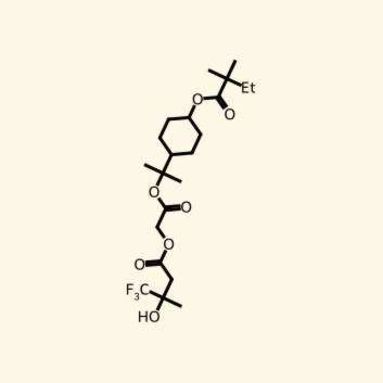 CCC(C)(C)C(=O)OC1CCC(C(C)(C)OC(=O)COC(=O)CC(C)(O)C(F)(F)F)CC1